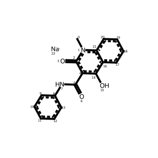 Cn1c(=O)c(C(=O)Nc2ccccc2)c(O)c2ccccc21.[Na]